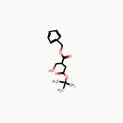 CC(C)(C)OC(=O)CC(CO)C(=O)OCc1ccccc1